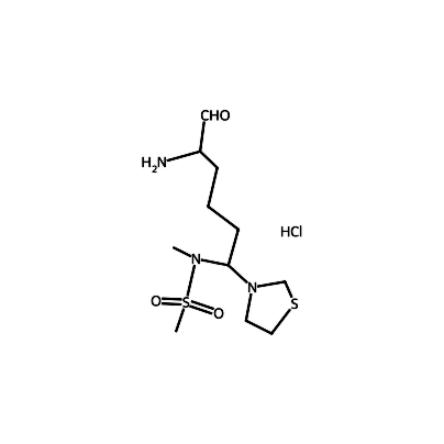 CN(C(CCCC(N)C=O)N1CCSC1)S(C)(=O)=O.Cl